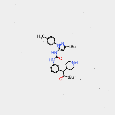 Cc1ccc(-n2nc(C(C)(C)C)cc2NC(=O)Nc2cccc(C(C(=O)C(C)(C)C)C3CCNCC3)c2)cc1